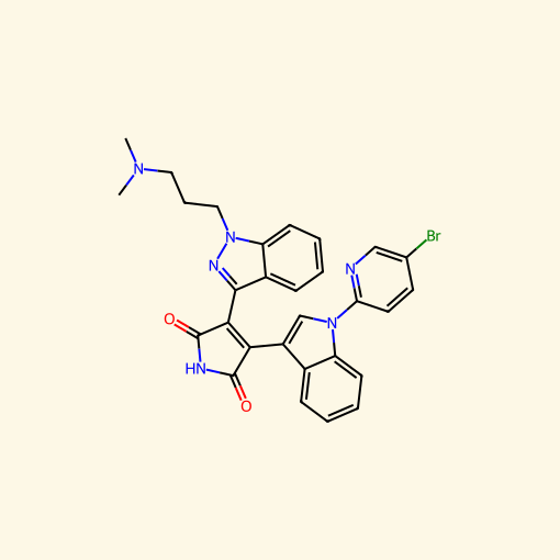 CN(C)CCCn1nc(C2=C(c3cn(-c4ccc(Br)cn4)c4ccccc34)C(=O)NC2=O)c2ccccc21